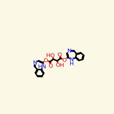 O=C(OC1=CN=Cc2ccccc2N1)C(O)C(O)C(=O)OC1=CN=Cc2ccccc2N1